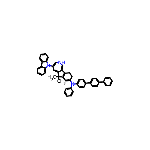 CC1(C)C2=CC(n3c4ccccc4c4ccccc43)=CNC=C2C2=C1C=C(N(c1ccccc1)c1ccc(-c3ccc(-c4ccccc4)cc3)cc1)CC2